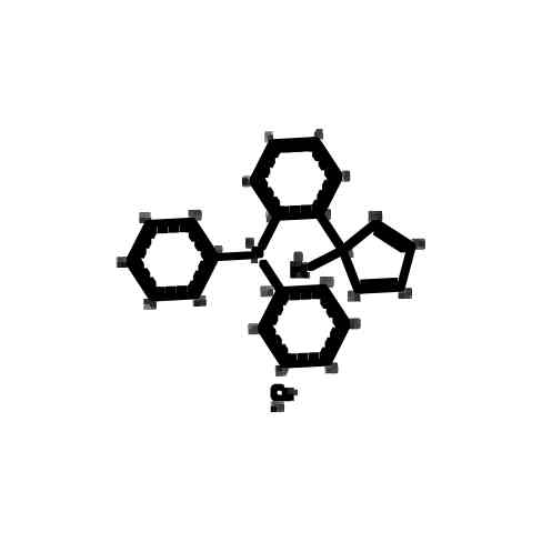 CCC1(c2ccccc2P(c2ccccc2)c2ccccc2)C=CC=C1.[Cu]